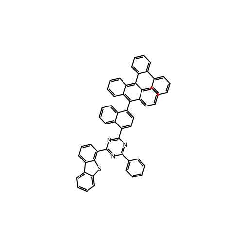 c1ccc(-c2nc(-c3ccc(-c4c5ccccc5c(-c5ccccc5-c5ccccc5)c5ccccc45)c4ccccc34)nc(-c3cccc4c3sc3ccccc34)n2)cc1